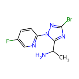 CC(N)c1nc(Br)nn1-c1ccc(F)cn1